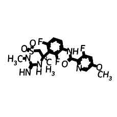 COc1cnc(C(=O)Nc2ccc(F)c([C@]3(C)CS(=O)(=O)N(C)C(=N)N3)c2F)c(F)c1